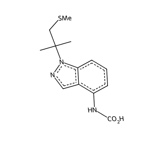 CSCC(C)(C)n1ncc2c(NC(=O)O)cccc21